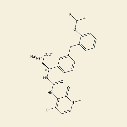 Cn1ccc([O-])c(NC(=O)N[C@@H](CC(=O)[O-])c2cccc(Cc3ccccc3OC(F)F)c2)c1=O.[Na+].[Na+]